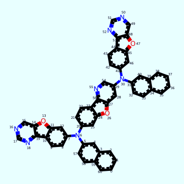 c1ccc2cc(N(c3ccc4c(c3)oc3cncnc34)c3ccc4c(c3)oc3cc(N(c5ccc6ccccc6c5)c5ccc6c(c5)oc5cncnc56)cnc34)ccc2c1